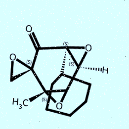 C[C@]12OC1[C@@H]1O[C@]1(C1CCCCC1)C(=O)[C@]21CO1